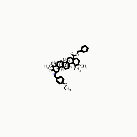 COc1ccc(/C=C2\C[C@]3(C)[C@H]4CC=C5C6[C@@H](C)[C@H](C)CCC6(C(=O)OCc6ccccc6)CC[C@@]5(C)[C@]4(C)CC[C@H]3C(C)(C)C2=O)cc1